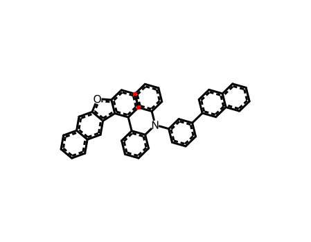 c1ccc(N(c2cccc(-c3ccc4ccccc4c3)c2)c2ccccc2-c2cccc3oc4cc5ccccc5cc4c23)cc1